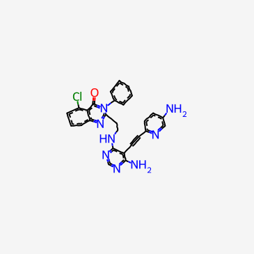 Nc1ccc(C#Cc2c(N)ncnc2NCCc2nc3cccc(Cl)c3c(=O)n2-c2ccccc2)nc1